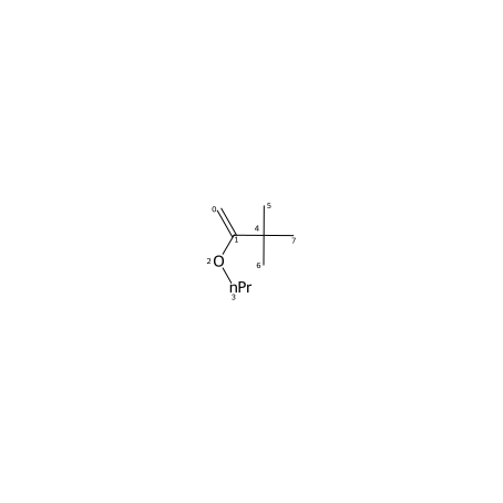 C=C(OCCC)C(C)(C)C